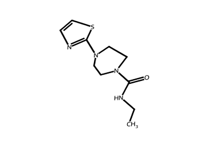 CCNC(=O)N1CCN(c2nccs2)CC1